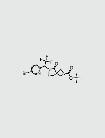 CC(C)(C)OC(=O)N1CC2(CCN(C(c3ccc(Br)cn3)C(F)(F)F)C2=O)C1